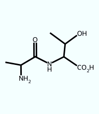 CC(N)C(=O)NC(C(=O)O)C(C)O